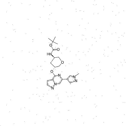 Cn1cc(-c2cn3nccc3c(O[C@H]3COC[C@H](NC(=O)OC(C)(C)C)C3)n2)cn1